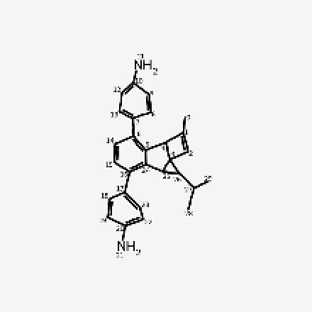 CC1=CC23C1c1c(-c4ccc(N)cc4)ccc(-c4ccc(N)cc4)c1C2C3C(C)C